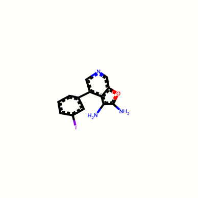 Nc1oc2cncc(-c3cccc(I)c3)c2c1N